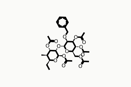 CC[C@@H]1O[C@H](OC(C)=O)[C@@H](O[C@H]2O[C@H](COC(C)=O)[C@@H](OC(C)=O)[C@H](OC(C)=O)[C@@H]2OCc2ccccc2)[C@@H](OC(C)=O)[C@@H]1C